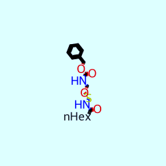 CCCCCCC(=O)NSOCNC(=O)OCc1ccccc1